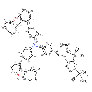 CC(C)(C)c1ccc2c(c1)C(C)(C)c1ccc(-c3ccc(N(c4ccc(-c5cccc6oc7ccccc7c56)cc4)c4ccc(-c5cccc6oc7ccccc7c56)cc4)cc3)cc1-2